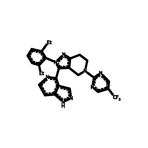 CCc1cccc(CC)c1-n1nc2c(c1-c1nccc3[nH]ncc13)CN(c1ncc(C(F)(F)F)cn1)CC2